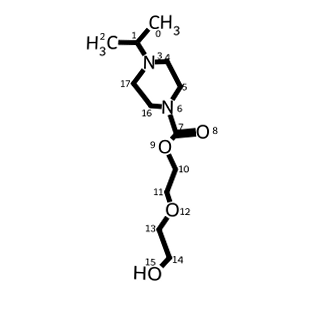 CC(C)N1CCN(C(=O)OCCOCCO)CC1